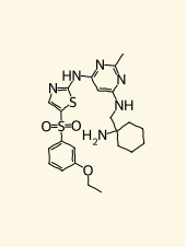 CCOc1cccc(S(=O)(=O)c2cnc(Nc3cc(NCC4(N)CCCCC4)nc(C)n3)s2)c1